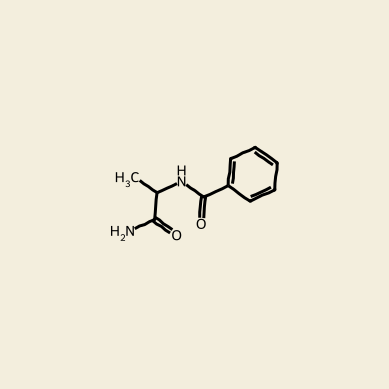 CC(NC(=O)c1ccccc1)C(N)=O